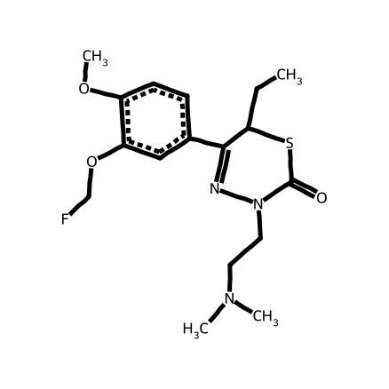 CCC1SC(=O)N(CCN(C)C)N=C1c1ccc(OC)c(OCF)c1